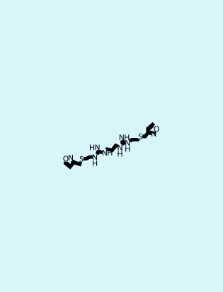 N=C(NCCCNC(=N)NCCSCc1ccon1)NCCSCc1ccon1